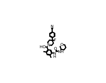 Cc1cc(C)c(C(O)N2CCC(F)(c3ccc(C#N)cc3)CC2)cc1NC(=O)NC1CCCOC1